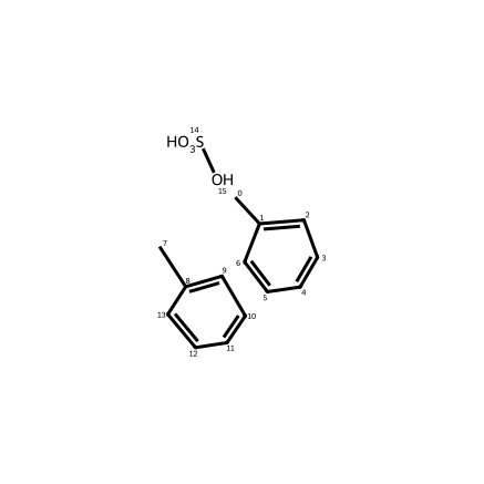 Cc1ccccc1.Cc1ccccc1.O=S(=O)(O)O